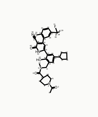 CC(=O)N1CCC(C(=O)N(C)Cc2cc(C3CCCC3)cc(-c3cc(-c4cc(C(F)(F)F)ccc4Cl)c(C#N)c(=O)[nH]3)c2O)CC1